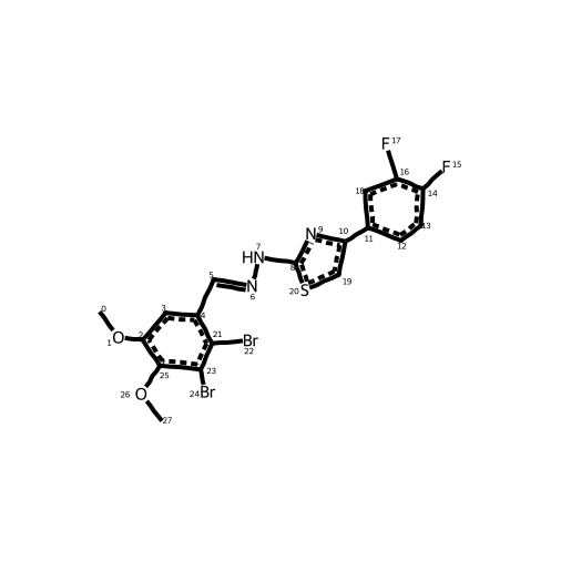 COc1cc(C=NNc2nc(-c3ccc(F)c(F)c3)cs2)c(Br)c(Br)c1OC